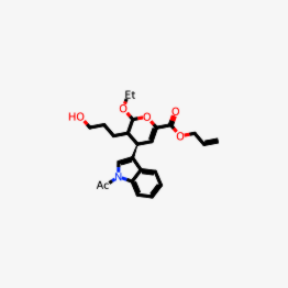 C=CCOC(=O)C1=C[C@@H](c2cn(C(C)=O)c3ccccc23)C(CCCO)C(OCC)O1